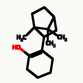 CC1(C)C2CCC1(C)C(C1=C(O)CCCC1)C2